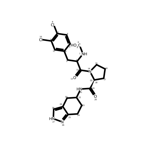 O=C(O)NC(Cc1ccc(Cl)c(Cl)c1)C(=O)N1CCC[C@H]1C(=O)NC1CCc2n[nH]cc2C1